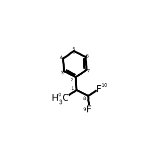 CC(C1=CC[CH]C=C1)C(F)F